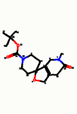 CN1CC2=C(COC23CCN(C(=O)OC(C)(C)C)CC3)CC1=O